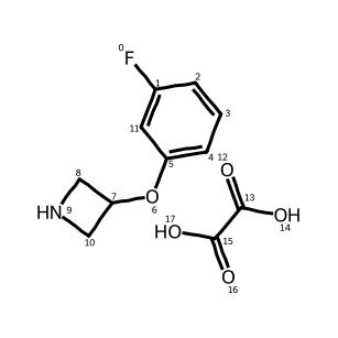 Fc1cccc(OC2CNC2)c1.O=C(O)C(=O)O